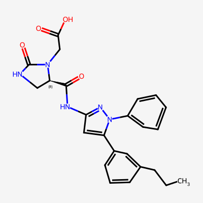 CCCc1cccc(-c2cc(NC(=O)[C@H]3CNC(=O)N3CC(=O)O)nn2-c2ccccc2)c1